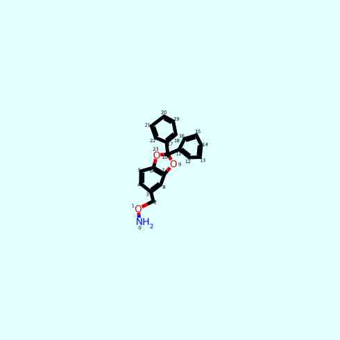 NOCc1ccc2c(c1)OC(c1ccccc1)(c1ccccc1)O2